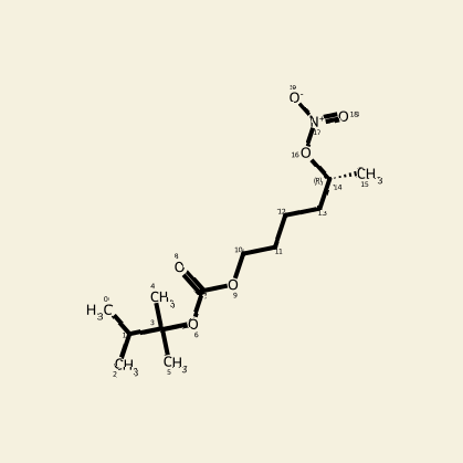 CC(C)C(C)(C)OC(=O)OCCCC[C@@H](C)O[N+](=O)[O-]